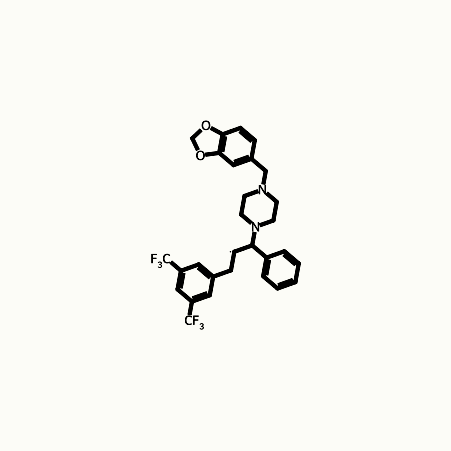 FC(F)(F)c1cc(C[CH]C(c2ccccc2)N2CCN(Cc3ccc4c(c3)OCO4)CC2)cc(C(F)(F)F)c1